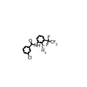 Cc1c(NC(=O)c2cccc(Cl)c2)cccc1C(F)(F)C(F)(F)F